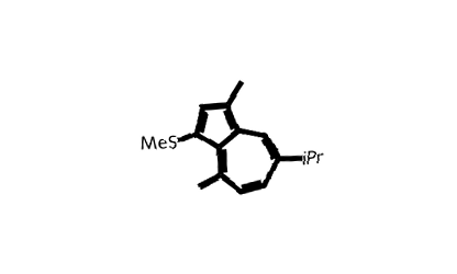 CSc1cc(C)c2cc(C(C)C)ccc(C)c1-2